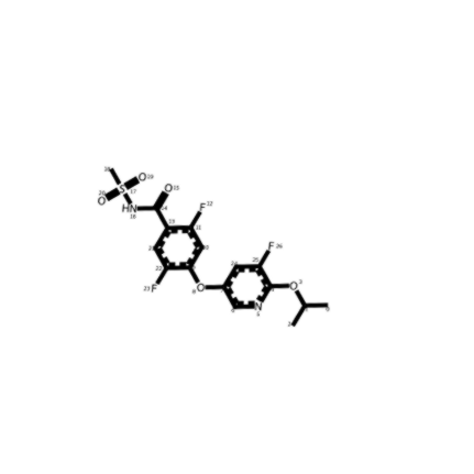 CC(C)Oc1ncc(Oc2cc(F)c(C(=O)NS(C)(=O)=O)cc2F)cc1F